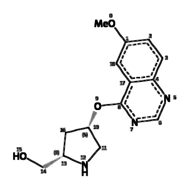 COc1ccc2ncnc(O[C@@H]3CN[C@H](CO)C3)c2c1